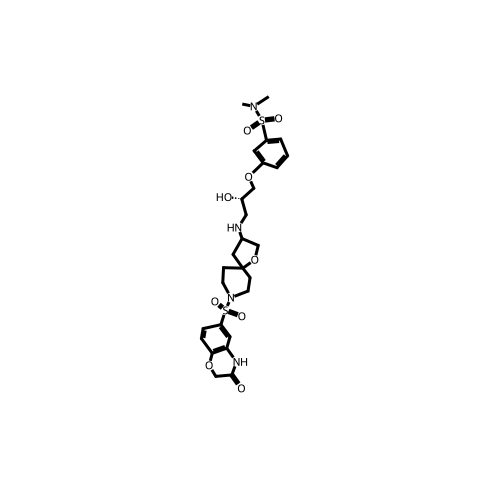 CN(C)S(=O)(=O)c1cccc(OC[C@@H](O)CNC2COC3(CCN(S(=O)(=O)c4ccc5c(c4)NC(=O)CO5)CC3)C2)c1